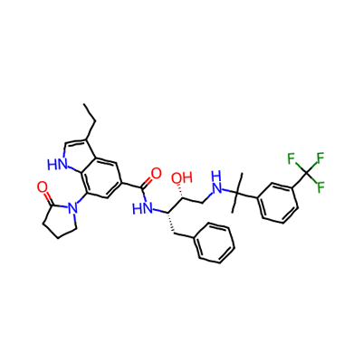 CCc1c[nH]c2c(N3CCCC3=O)cc(C(=O)N[C@@H](Cc3ccccc3)[C@H](O)CNC(C)(C)c3cccc(C(F)(F)F)c3)cc12